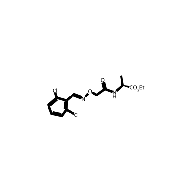 CCOC(=O)[C@H](C)NC(=O)CON=Cc1c(Cl)cccc1Cl